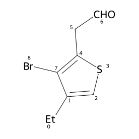 CCc1csc(CC=O)c1Br